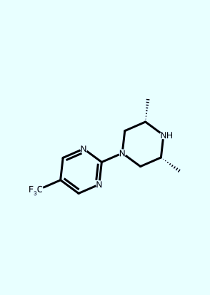 C[C@@H]1CN(c2ncc(C(F)(F)F)cn2)C[C@H](C)N1